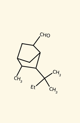 CCC(C)(C)C1C(C)C2CC(C=O)C1C2